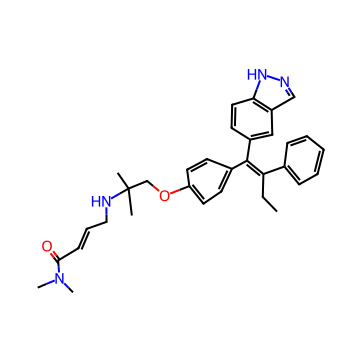 CCC(=C(c1ccc(OCC(C)(C)NCC=CC(=O)N(C)C)cc1)c1ccc2[nH]ncc2c1)c1ccccc1